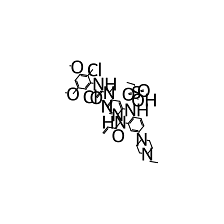 C=CC(=O)Nc1cc(N2CCN(CC)CC2)ccc1Nc1cc(N(C)C(=O)Nc2c(Cl)c(OC)cc(OC)c2Cl)ncn1.CCS(=O)(=O)O